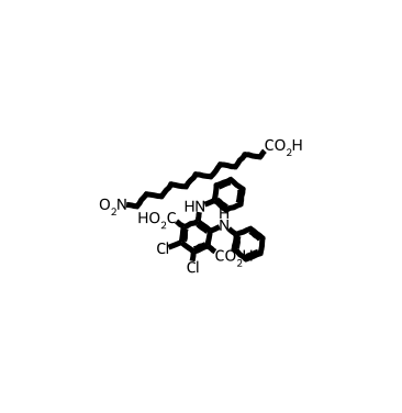 O=C(O)CCCCCCCCCCC[N+](=O)[O-].O=C(O)c1c(Cl)c(Cl)c(C(=O)O)c(Nc2ccccc2)c1Nc1ccccc1